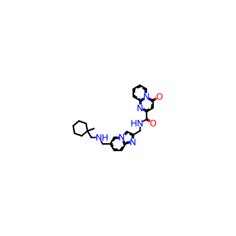 CC1(CNCc2ccc3nc(CNC(=O)c4cc(=O)n5ccccc5n4)cn3c2)CCCCC1